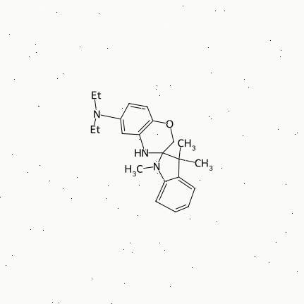 CCN(CC)c1ccc2c(c1)NC1(CO2)N(C)c2ccccc2C1(C)C